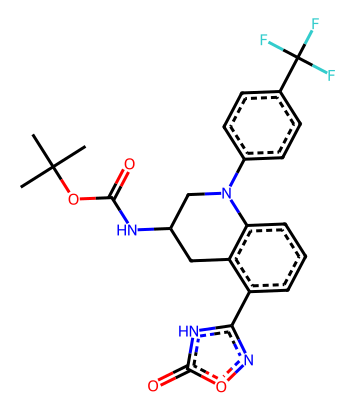 CC(C)(C)OC(=O)NC1Cc2c(-c3noc(=O)[nH]3)cccc2N(c2ccc(C(F)(F)F)cc2)C1